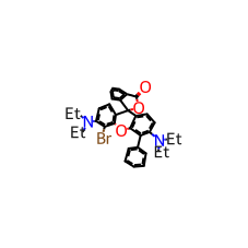 CCN(CC)c1ccc2c(c1Br)Oc1c(ccc(N(CC)CC)c1-c1ccccc1)C21OC(=O)c2ccccc21